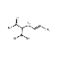 CC=C[SiH2]C(N(CC)CC)N(CC)CC